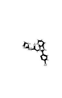 O=C(Cn1c(-c2ccc(Cl)cc2)nc2cccnc21)Nc1nccs1